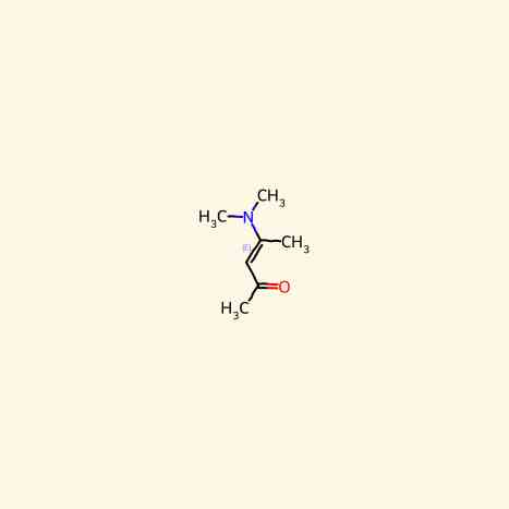 CC(=O)/C=C(\C)N(C)C